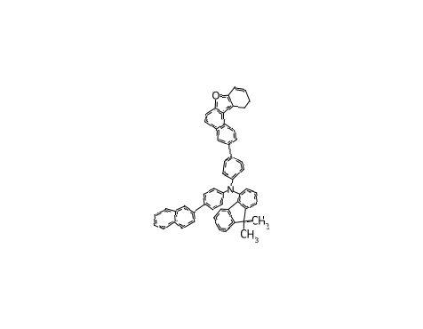 CC1(C)c2ccccc2-c2c(N(c3ccc(-c4ccc5ccccc5c4)cc3)c3ccc(-c4ccc5c(ccc6oc7c(c65)CCC=C7)c4)cc3)cccc21